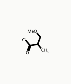 COCC(C)C(=O)Cl